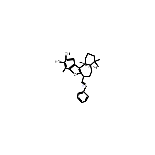 Cc1c(O)c(O)cc2c3c(oc12)C(/C=N/c1ccccc1)CC[C@@H]1C(C)(C)CCC[C@@]31C